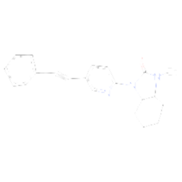 CCN1C(=O)N(c2ccc(C#Cc3ccccc3)cn2)C2CCCCC21